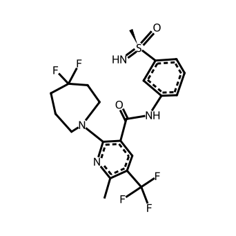 Cc1nc(N2CCCC(F)(F)CC2)c(C(=O)Nc2cccc([S@](C)(=N)=O)c2)cc1C(F)(F)F